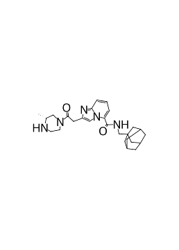 C[C@@H]1CN(C(=O)Cc2cn3c(C(=O)NCC45CC6CC(CC(C6)C4)C5)cccc3n2)CCN1